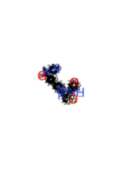 CN1CCC(N(C)C(=O)c2ccc(C3CCN(c4nc5c(c(NC6CCOCC6)n4)[S+]([O-])CC5)CC3)cc2)CC1